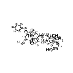 C[C@@H]1[C@H]2C3=CC[C@H]4[C@]5(C)Cc6c(O)ncnc6C(C)(C)[C@H]5CC[C@]4(C)[C@]3(C)CC[C@@]2(C(=O)OCc2ccccc2)CC[C@@H]1C